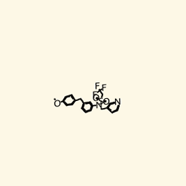 COc1ccc(Cc2cccc(N(Cc3cccnc3)S(=O)(=O)CC(F)(F)F)c2)cc1